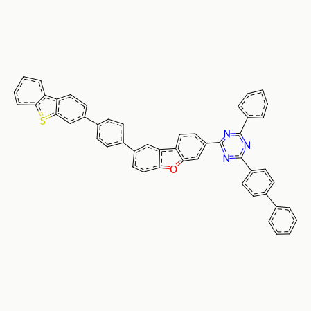 c1ccc(-c2ccc(-c3nc(-c4ccccc4)nc(-c4ccc5c(c4)oc4ccc(-c6ccc(-c7ccc8c(c7)sc7ccccc78)cc6)cc45)n3)cc2)cc1